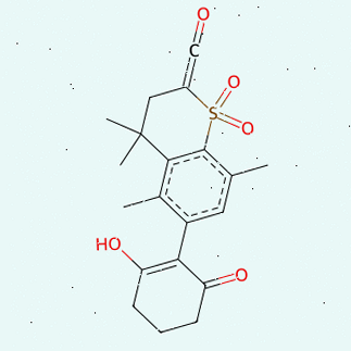 Cc1cc(C2=C(O)CCCC2=O)c(C)c2c1S(=O)(=O)C(=C=O)CC2(C)C